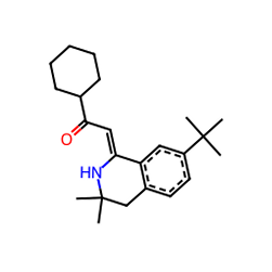 CC1(C)Cc2ccc(C(C)(C)C)cc2/C(=C/C(=O)C2CCCCC2)N1